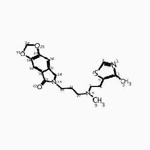 Cc1ncsc1CCN(C)CCCN1Cc2cc3c(cc2C1=O)OCO3